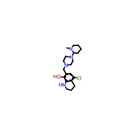 CN1CCCCC1N1CCN(Cc2cc(Cl)c3c(c2O)NCCC3)CC1